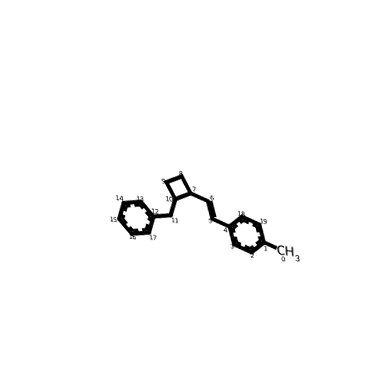 Cc1ccc(C=CC2CCC2Cc2ccccc2)cc1